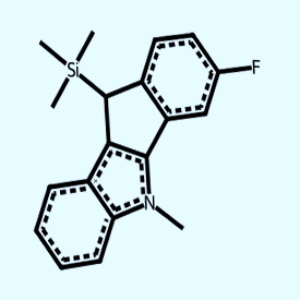 Cn1c2c(c3ccccc31)C([Si](C)(C)C)c1ccc(F)cc1-2